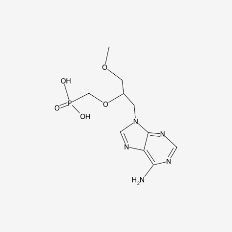 COCC(Cn1cnc2c(N)ncnc21)OCP(=O)(O)O